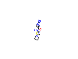 N#CN1CCC(C(=O)NC2=NCC(N3CCCCC3)S2)C1